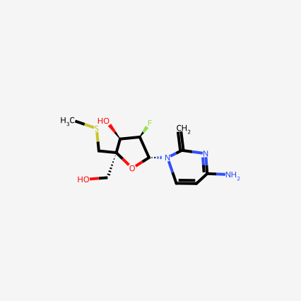 C=C1N=C(N)C=CN1[C@@H]1O[C@@](CO)(CSC)[C@@H](O)[C@H]1F